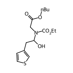 CCCCOC(=O)CN(C(=O)OCC)C(O)Cc1ccsc1